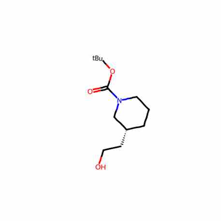 CC(C)(C)OC(=O)N1CCC[C@H](CCO)C1